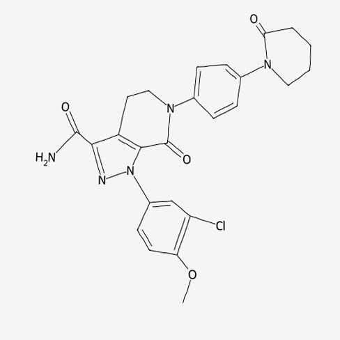 COc1ccc(-n2nc(C(N)=O)c3c2C(=O)N(c2ccc(N4CCCCC4=O)cc2)CC3)cc1Cl